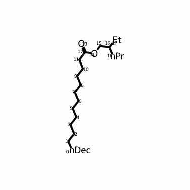 CCCCCCCCCCCCCCCCCCCCCC(=O)OCC(CC)CCC